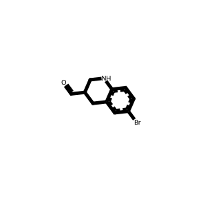 O=CC1CNc2ccc(Br)cc2C1